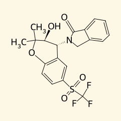 CC1(C)Oc2ccc(S(=O)(=O)C(F)(F)F)cc2[C@@H](N2Cc3ccccc3C2=O)[C@@H]1O